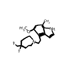 COc1cc(C)c2[nH]ccc2c1CN1CCC(F)(F)CC1